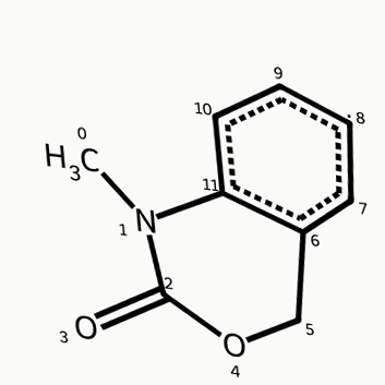 CN1C(=O)OCc2c[c]ccc21